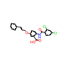 O=C(Nc1ccc(OCC=Cc2ccccc2)cc1C(=O)O)c1ccc(Cl)cc1Cl